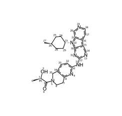 C[C@@H](O)C(=O)N1CCc2nc(Nc3ncc4c5ccncc5n([C@H]5CC[C@H](C)CC5)c4n3)ccc2C1